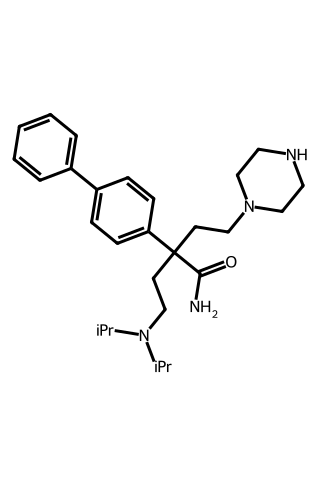 CC(C)N(CCC(CCN1CCNCC1)(C(N)=O)c1ccc(-c2ccccc2)cc1)C(C)C